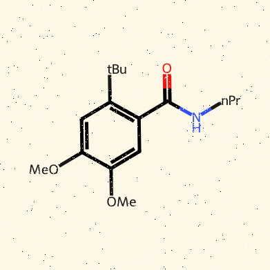 CCCNC(=O)c1cc(OC)c(OC)cc1C(C)(C)C